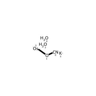 N#C[O][Os].O.O.[K]